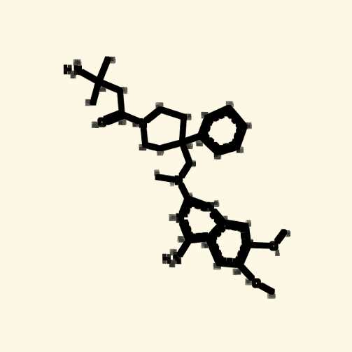 COc1cc2nc(N(C)CC3(c4ccccc4)CCN(C(=O)CC(C)(C)N)CC3)nc(N)c2cc1OC